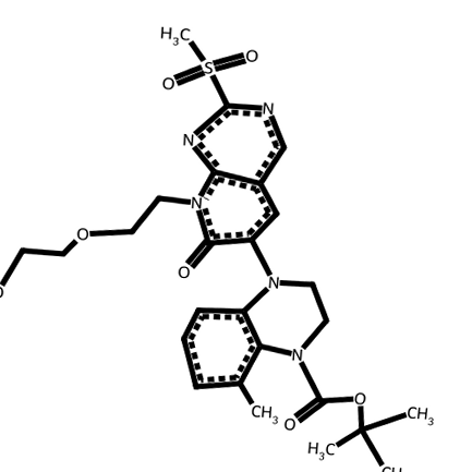 Cc1cccc2c1N(C(=O)OC(C)(C)C)CCN2c1cc2cnc(S(C)(=O)=O)nc2n(CCOCCO)c1=O